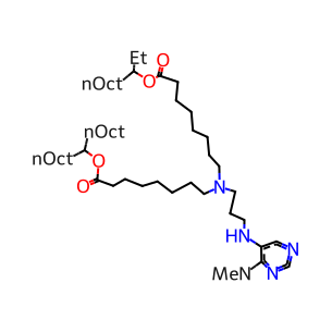 CCCCCCCCC(CC)OC(=O)CCCCCCCN(CCCCCCCC(=O)OC(CCCCCCCC)CCCCCCCC)CCCNc1cncnc1NC